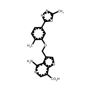 Cc1nnc(-c2ccc(C)c(OCc3csc4c(C(=O)O)cnc(N)c34)c2)o1